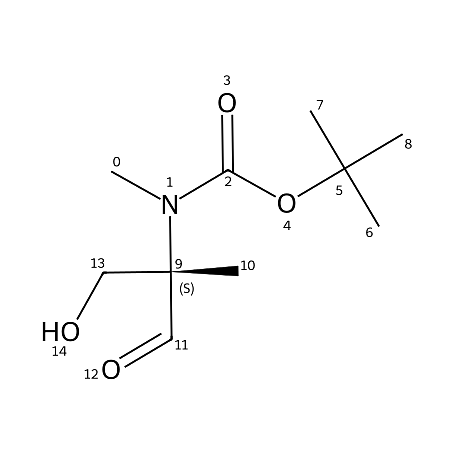 CN(C(=O)OC(C)(C)C)[C@](C)(C=O)CO